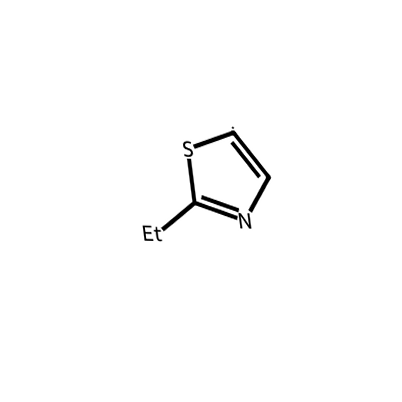 CCc1nc[c]s1